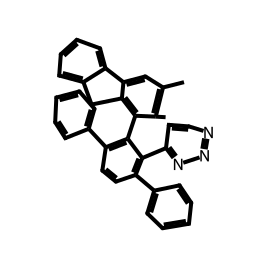 Cc1cc2c(c(-c3c(-c4ccccc4)ccc(-c4ccccc4)c3-c3ccnnn3)c1C)Cc1ccccc1-2